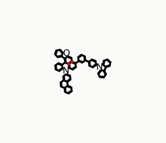 c1cc(-c2ccc(N(c3ccc4c(ccc5ccccc54)c3)c3ccccc3-c3cccc4oc5ccccc5c34)cc2)cc(-c2ccc(-n3c4ccccc4c4ccccc43)cc2)c1